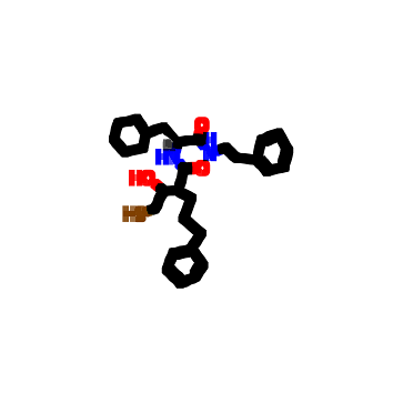 O=C(N[C@@H](CC1CCCCC1)C(=O)NCCc1ccccc1)C(CCCc1ccccc1)C(O)CS